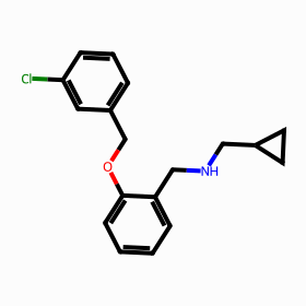 Clc1cccc(COc2ccccc2CNCC2CC2)c1